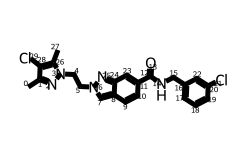 Cc1nn(CCn2cc3ccc(C(=O)NCc4cccc(Cl)c4)cc3n2)c(C)c1Cl